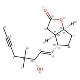 CC#CCC(C)(C)[C@@H](O)C=C[C@H]1CC[C@@H]2OC(=O)C[C@@H]21